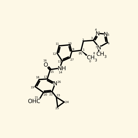 C[C@H](Cc1nncn1C)c1cccc(NC(=O)c2ccc(C=O)c(C3CC3)n2)c1